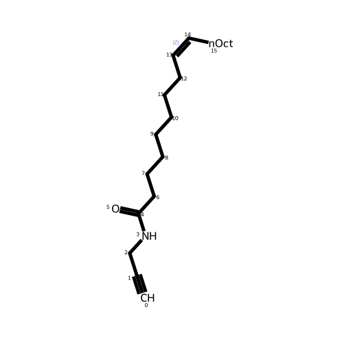 C#CCNC(=O)CCCCCCC/C=C\CCCCCCCC